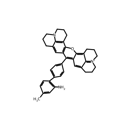 Cc1ccc(-c2ccc(C3=c4cc5c6c(c4Oc4c3cc3c7c4CCCN7CCC3)CCC[N+]=6CCC5)cc2)c(N)c1